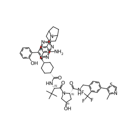 Cc1ncsc1-c1ccc(CNC(=O)[C@@H]2C[C@@H](O)CN2C(=O)[C@@H](NC(=O)[C@H]2CC[C@H](Cc3cnc(N4C5CCC4CN(c4cc(-c6ccccc6O)nnc4N)C5)nc3)CC2)C(C)(C)C)c(C(F)(F)F)c1